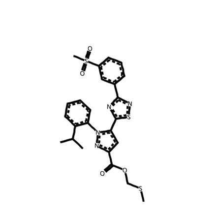 CSCOC(=O)c1cc(-c2nc(-c3cccc(S(C)(=O)=O)c3)ns2)n(-c2ccccc2C(C)C)n1